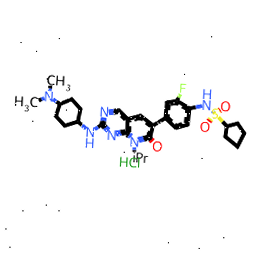 CC(C)n1c(=O)c(-c2ccc(NS(=O)(=O)C3CCCC3)c(F)c2)cc2cnc(NC3CCC(N(C)C)CC3)nc21.Cl